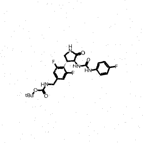 CC(C)(C)OC(=O)NCc1cc(F)c([C@@H]2CNC(=O)[C@H]2NC(=O)Nc2ccc(F)cc2)c(F)c1